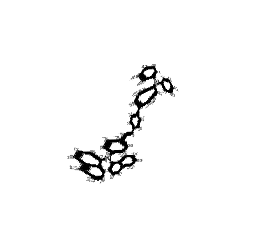 C(=Cc1ccc(N(c2cccc3ccccc23)c2cccc3ccccc23)cc1)c1ccc(-c2ccc(N(c3ccccc3)c3ccccc3)cc2)cc1